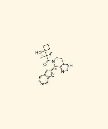 O=C(N1CCc2[nH]cnc2[C@H]1c1cc2ccccc2o1)C(F)(F)C1(O)CCC1